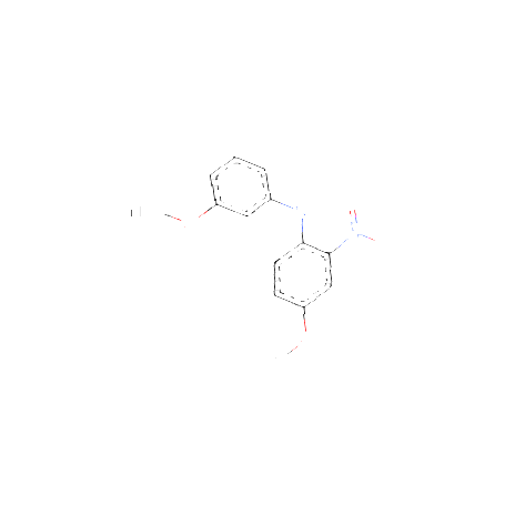 COc1cccc(Nc2ccc(OC)cc2[N+](=O)[O-])c1